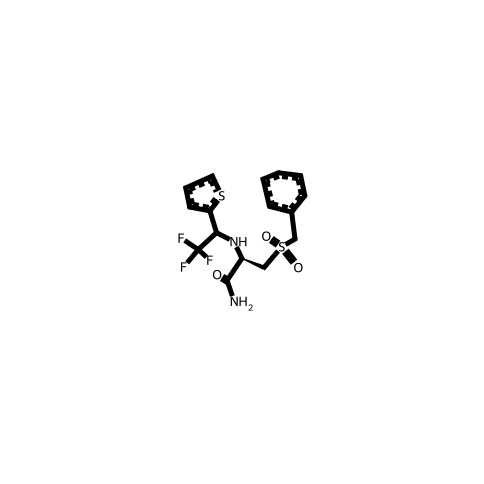 NC(=O)[C@H](CS(=O)(=O)Cc1ccccc1)NC(c1cccs1)C(F)(F)F